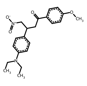 CCN(CC)c1ccc(C(CC(=O)c2ccc(OC)cc2)C[N+](=O)[O-])cc1